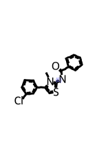 Cn1c(-c2cccc(Cl)c2)cs/c1=N/C(=O)c1ccccc1